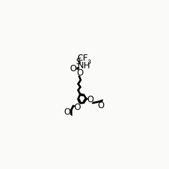 O=C(NSC(F)(F)F)OCCCCCc1cc(OCC2CO2)cc(OCC2CO2)c1